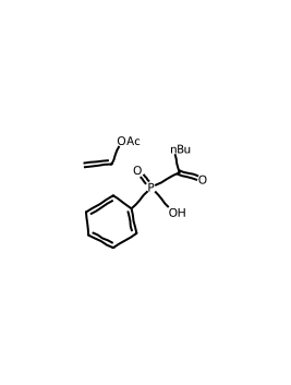 C=COC(C)=O.CCCCC(=O)P(=O)(O)c1ccccc1